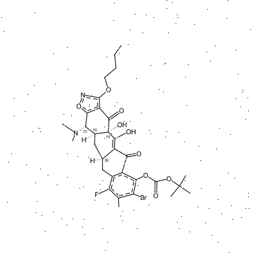 CCCCOc1noc2c1C(=O)[C@@]1(O)C(O)=C3C(=O)c4c(c(F)c(C)c(Br)c4OC(=O)OC(C)(C)C)C[C@H]3C[C@H]1[C@@H]2N(C)C